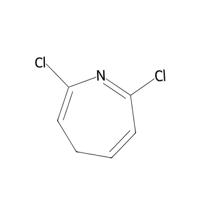 ClC1=CCC=CC(Cl)=N1